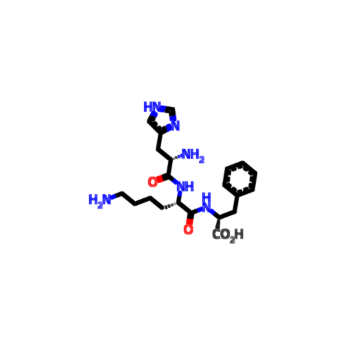 NCCCC[C@H](NC(=O)[C@@H](N)Cc1c[nH]cn1)C(=O)N[C@@H](Cc1ccccc1)C(=O)O